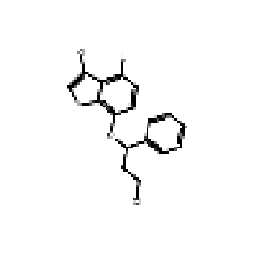 Fc1ccc(O[C@H](CCCl)c2ccccc2)c2scc(Cl)c12